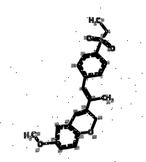 CCS(=O)(=O)c1ccc(C=C(C)C2=Cc3cc(OC)ccc3OC2)cc1